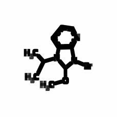 COC1N(Br)c2ncccc2N1C(C)C